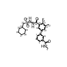 CNC(=O)c1cccc(-c2cc(C)c(F)c(C(=O)NNS(=O)(=O)CC3CCCCC3)c2)c1